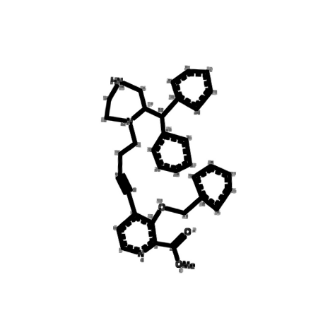 COC(=O)c1nccc(C#CCCN2CCNCC2C(c2ccccc2)c2ccccc2)c1OCc1ccccc1